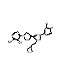 Cc1ccc(-c2cn(CCN3CCC3)c(C3CCN(c4ncnc(N)c4C#N)CC3)n2)cc1Cl